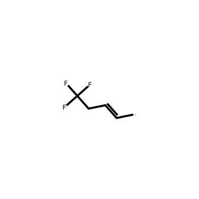 [CH2]C=CCC(F)(F)F